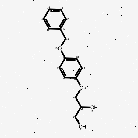 OCC(O)COc1ccc(OCc2ccccc2)cc1